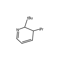 CC(C)C1C=CC=NC1C(C)(C)C